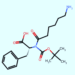 CC(C)(C)OC(=O)N(C(=O)CCCCCN)[C@H](Cc1ccccc1)C(=O)O